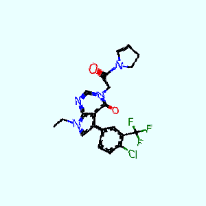 CCn1cc(-c2ccc(Cl)c(C(F)(F)F)c2)c2c(=O)n(CC(=O)N3CCCC3)cnc21